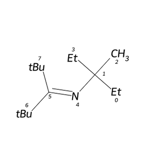 CCC(C)(CC)N=C(C(C)(C)C)C(C)(C)C